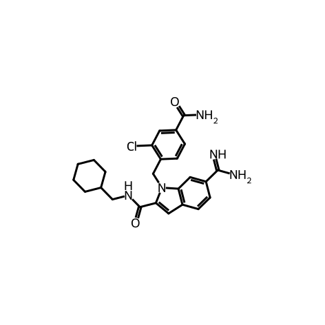 N=C(N)c1ccc2cc(C(=O)NCC3CCCCC3)n(Cc3ccc(C(N)=O)cc3Cl)c2c1